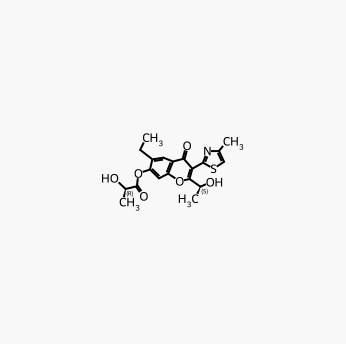 CCc1cc2c(=O)c(-c3nc(C)cs3)c([C@H](C)O)oc2cc1OC(=O)[C@@H](C)O